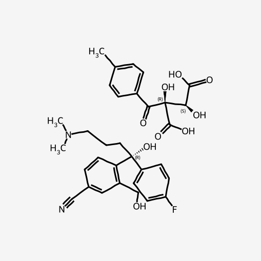 CN(C)CCC[C@@](O)(c1ccc(F)cc1)c1ccc(C#N)cc1CO.Cc1ccc(C(=O)[C@@](O)(C(=O)O)[C@H](O)C(=O)O)cc1